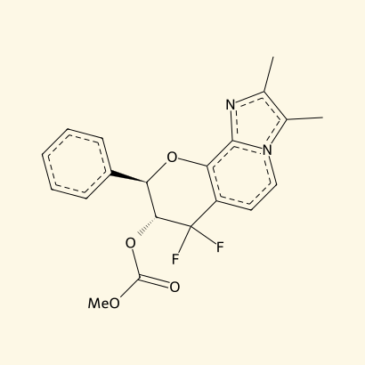 COC(=O)O[C@@H]1[C@@H](c2ccccc2)Oc2c(ccn3c(C)c(C)nc23)C1(F)F